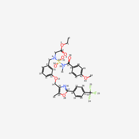 CCOC(=O)CN(Cc1cccc(OCc2nc(-c3ccc(C(F)(F)F)cc3)oc2C)c1)S(=O)(=O)N(C)C(=O)c1ccc(OC)cc1